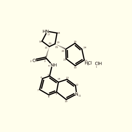 Cl.Cl.O=C(Nc1cccc2cnccc12)[C@@H]1CNC[C@@H]1c1ccccc1